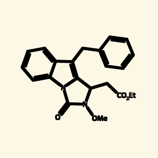 CCOC(=O)CC1c2c(Cc3ccccc3)c3ccccc3n2C(=O)N1OC